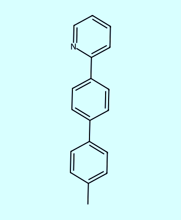 Cc1ccc(-c2ccc(-c3ccccn3)cc2)cc1